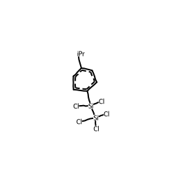 CC(C)c1ccc([Si](Cl)(Cl)[Si](Cl)(Cl)Cl)cc1